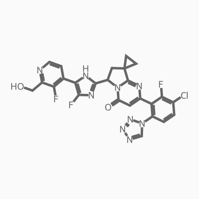 O=c1cc(-c2c(-n3cnnn3)ccc(Cl)c2F)nc2n1C(c1nc(F)c(-c3ccnc(CO)c3F)[nH]1)CC21CC1